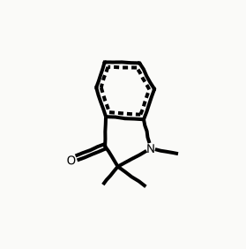 CN1c2ccccc2C(=O)C1(C)C